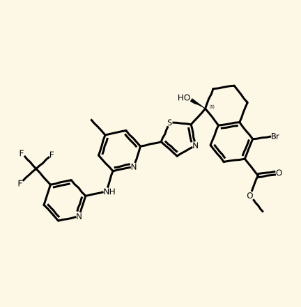 COC(=O)c1ccc2c(c1Br)CCC[C@@]2(O)c1ncc(-c2cc(C)cc(Nc3cc(C(F)(F)F)ccn3)n2)s1